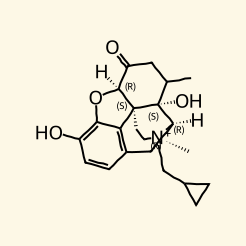 CC1CC(=O)[C@@H]2Oc3c(O)ccc4c3[C@@]23CC[N@+](C)(CC2CC2)[C@H](C4)[C@]13O